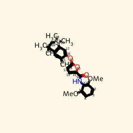 COc1cccc(OC)c1NC(=O)c1ccc(Oc2cc3c(cc2C)C(C)(C)C[Si]3(C)C)o1